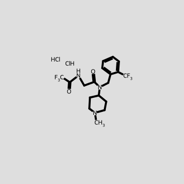 CN1CCC(N(Cc2ccccc2C(F)(F)F)C(=O)CNC(=O)C(F)(F)F)CC1.Cl.Cl